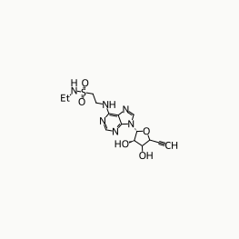 C#CC1O[C@@H](n2cnc3c(NCCS(=O)(=O)NCC)ncnc32)[C@H](O)C1O